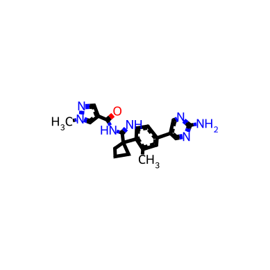 Cc1cc(-c2cnc(N)nc2)ccc1C1(C(=N)NC(=O)c2cnn(C)c2)CCC1